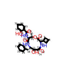 C[C@H]1OC(=O)C(C2CCC2)NC(=O)[C@H](C)[C@H](O)[C@H](Cc2ccccc2)NC(=O)[C@H]1NC(=O)c1ccccc1O